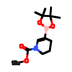 CC(C)(C)OC(=O)N1C=C(B2OC(C)(C)C(C)(C)O2)CCC1